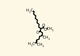 C=CCCCCCCCC(C(=O)C[C@H](C)CCC=C(C)C)C(=O)OC